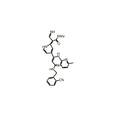 CNC(=O)/C(C=N)=C1C=C(/C(=C/C(=N)NCc2ccccc2C#N)Nc2cccc(C)n2)C=CN\1